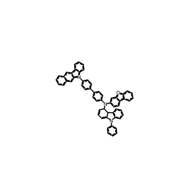 C1=CC(N(c2ccc(-c3ccc(-n4c5ccccc5c5cc6ccccc6cc54)cc3)cc2)c2ccc3c(c2)oc2ccccc23)C2C(=C1)N(c1ccccc1)c1ccccc12